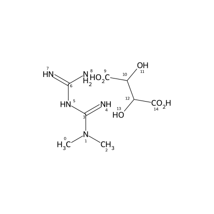 CN(C)C(=N)NC(=N)N.O=C(O)C(O)C(O)C(=O)O